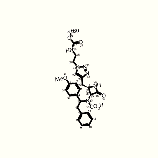 COc1ccc(C(Cc2ccccc2)N(C(=O)O)[C@@H]2C(=O)N[C@@H]2Cc2cn(CCNC(=O)OC(C)(C)C)nn2)cc1